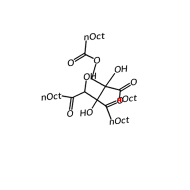 CCCCCCCCC(=O)OCC(O)(C(=O)CCCCCCCC)C(O)(C(=O)CCCCCCCC)C(O)C(=O)CCCCCCCC